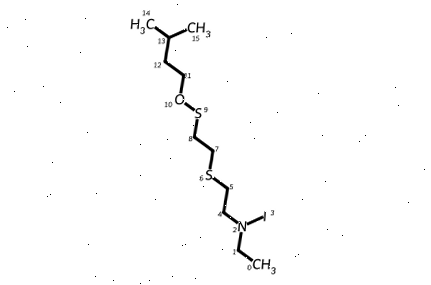 CCN(I)CCSCCSOCCC(C)C